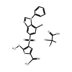 CSc1sc(C(=N)N)cc1S(=O)(=O)c1cc(Br)c2c(c1)ncn2-c1ccccc1.O=C(O)C(F)(F)F